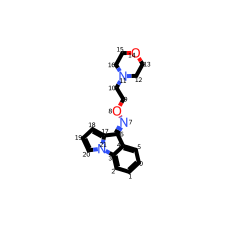 c1ccc2c(c1)C(=NOCCN1CCOCC1)c1cccn1-2